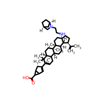 C=C(C)[C@@H]1CC[C@]2(NCCN3C[C@H]4CC[C@@H]3C4)CC[C@]3(C)[C@H](CC[C@@H]4[C@@]5(C)CC=C(C6=CC7C(C6)C7C(=O)O)C(C)(C)[C@@H]5CC[C@]43C)[C@@H]12